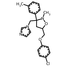 Cc1cccc(C2(Cn3ccnc3)CC(COc3ccc(Cl)cc3)ON2C)c1